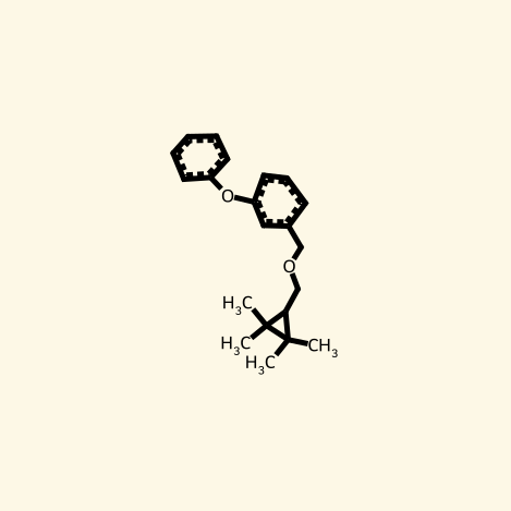 CC1(C)C(COCc2cccc(Oc3ccccc3)c2)C1(C)C